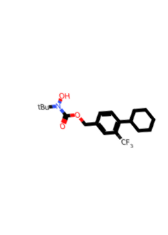 CC(C)(C)N(O)C(=O)OCc1ccc(C2CCCCC2)c(C(F)(F)F)c1